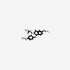 COc1ccc(C[C@H]2c3ccc(OC)cc3C[C@H]2COC(C)=O)cc1